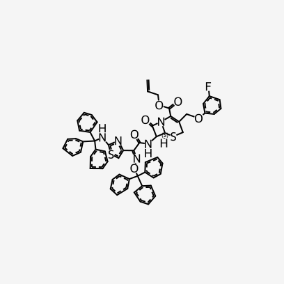 C=CCOC(=O)C1=C(COc2cccc(F)c2)CS[C@H]2C(NC(=O)C(=NOC(c3ccccc3)(c3ccccc3)c3ccccc3)c3csc(NC(c4ccccc4)(c4ccccc4)c4ccccc4)n3)C(=O)N12